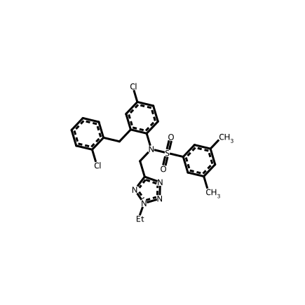 CCn1nnc(CN(c2ccc(Cl)cc2Cc2ccccc2Cl)S(=O)(=O)c2cc(C)cc(C)c2)n1